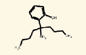 CCCCC(N)(CCCC)c1ccccc1O